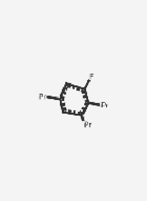 CC(C)c1cc(F)c(C(C)C)c(C(C)C)c1